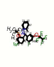 CC(C)(C)[S+]([O-])N[C@](Cc1ccccc1)(c1ccc(Br)cc1)c1cc(F)cc(OC(F)(F)C(F)F)c1